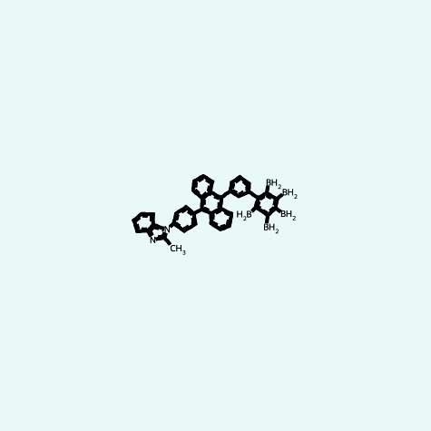 Bc1c(B)c(B)c(-c2cccc(-c3c4ccccc4c(-c4ccc(-n5c(C)nc6ccccc65)cc4)c4ccccc34)c2)c(B)c1B